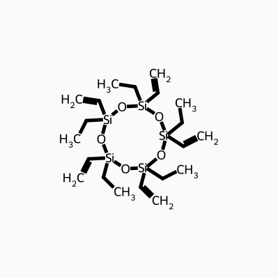 C=C[Si]1(CC)O[Si](C=C)(CC)O[Si](C=C)(CC)O[Si](C=C)(CC)O[Si](C=C)(CC)O1